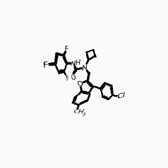 Cc1ccc2oc(CN(C(=O)Nc3c(F)cc(F)cc3F)C3CCC3)c(-c3ccc(Cl)cc3)c2c1